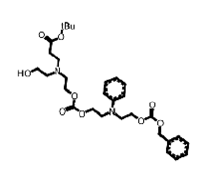 CC(C)(C)OC(=O)CCN(CCO)CCOC(=O)OCCN(CCOC(=O)OCc1ccccc1)c1ccccc1